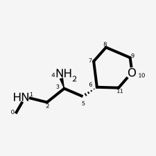 CNC[C@@H](N)C[C@@H]1CCCOC1